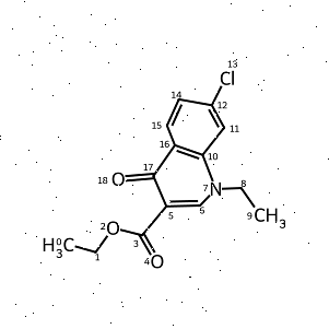 CCOC(=O)c1cn(CC)c2cc(Cl)ccc2c1=O